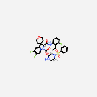 C[C@@H]1CNC[C@H](CCc2c(F)cccc2NC(=O)[C@@H](NC(=O)O)C2(c3ccc(F)c(F)c3)CCOCC2)N1S(=O)(=O)c1ccccc1